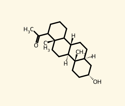 CC(=O)C1CCCC2[C@@H]3CC[C@H]4C[C@H](O)CC[C@]4(C)[C@H]3CC[C@]12C